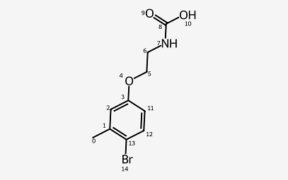 Cc1cc(OCCNC(=O)O)ccc1Br